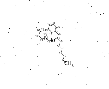 CCCCCCC[C](Cc1ccccc1)=[In][CH2]N1CCCCC1